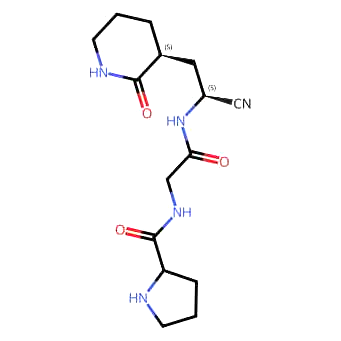 N#C[C@H](C[C@@H]1CCCNC1=O)NC(=O)CNC(=O)C1CCCN1